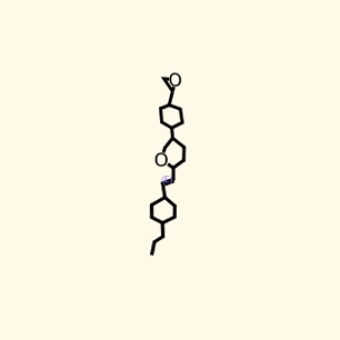 CCCC1CCC(/C=C/C2CCC(C3CCC(C4CO4)CC3)CO2)CC1